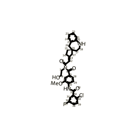 COc1cc(C(=O)N(CCO)C(=O)C=C2CC[C@@]3(CCNc4ccccc4C3)C2)ccc1NC(=O)c1cc(F)ccc1Cl